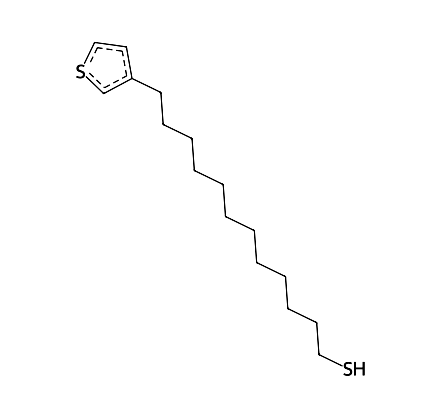 SCCCCCCCCCCCCc1ccsc1